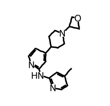 Cc1ccnc(Nc2cc(C3CCN(C4COC4)CC3)ccn2)c1